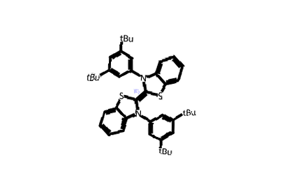 CC(C)(C)c1cc(N2/C(=C3\Sc4ccccc4N3c3cc(C(C)(C)C)cc(C(C)(C)C)c3)Sc3ccccc32)cc(C(C)(C)C)c1